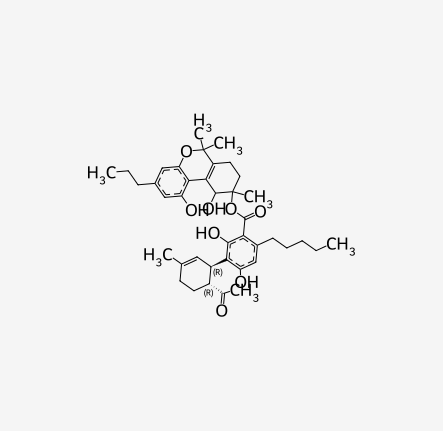 CCCCCc1cc(O)c([C@@H]2C=C(C)CC[C@H]2C(C)=O)c(O)c1C(=O)OC1(C)CCC2=C(c3c(O)cc(CCC)cc3OC2(C)C)C1O